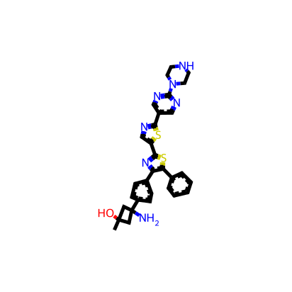 CC1(O)CC(N)(c2ccc(-c3nc(-c4cnc(-c5cnc(N6CCNCC6)nc5)s4)sc3-c3ccccc3)cc2)C1